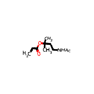 C=CC(=O)OC(C)(C)CCNC(C)=O